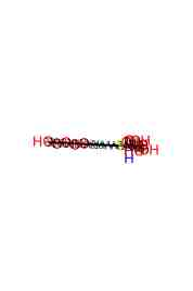 O=C(CSCCCCCCCCCCCOCCOCCOCCOCCO)NC(COP(=O)(O)O)C(=O)O